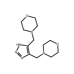 C1CN(Cc2nn[nH]c2CN2CCOCC2)CCO1